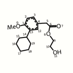 COc1ccc(CC(=O)OCCO)cc1C1CCCCC1